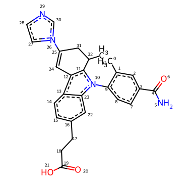 Cc1cc(C(N)=O)ccc1-n1c2c(c3ccc(CCC(=O)O)cc31)C=C(n1ccnc1)CC2C